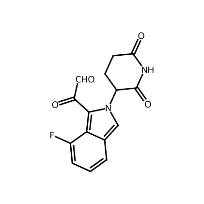 O=CC(=O)c1c2c(F)cccc2cn1C1CCC(=O)NC1=O